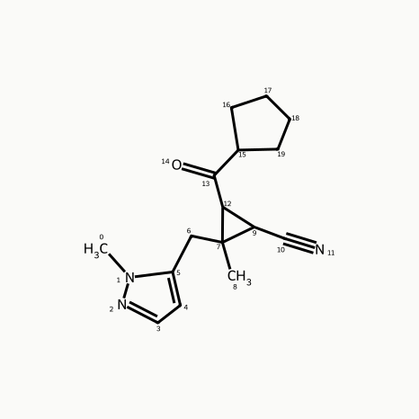 Cn1nccc1CC1(C)C(C#N)C1C(=O)C1CCCC1